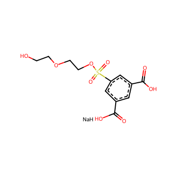 O=C(O)c1cc(C(=O)O)cc(S(=O)(=O)OCCOCCO)c1.[NaH]